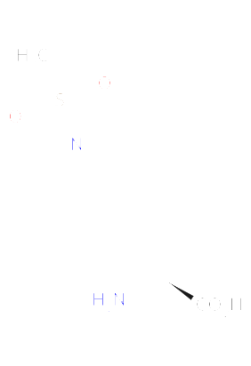 CS(=O)(=O)N1CCC(C[C@H](N)C(=O)O)C1